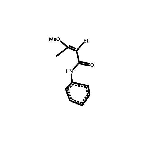 CCC(C(=O)Nc1ccccc1)=C(C)OC